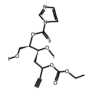 C#CC(C[C@H](OI)[C@@H](COI)OC(=S)n1ccnc1)OC(=O)OCC